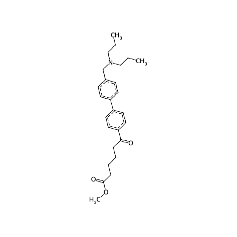 CCCN(CCC)Cc1ccc(-c2ccc(C(=O)CCCCC(=O)OC)cc2)cc1